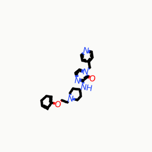 O=c1c(NC2CCN(CCOC3=CCCC=C3)CC2)nccn1Cc1ccncc1